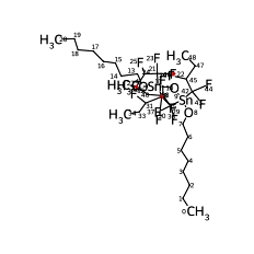 CCCCCCCC[O][Sn]([O][Sn]([O]CCCCCCCC)([C](F)(F)C(F)CC)[C](F)(F)C(F)CC)([C](F)(F)C(F)CC)[C](F)(F)C(F)CC